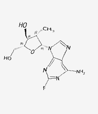 C[C@H]1[C@H](O)[C@@H](CO)O[C@H]1n1cnc2c(N)nc(F)nc21